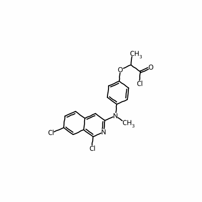 CC(Oc1ccc(N(C)c2cc3ccc(Cl)cc3c(Cl)n2)cc1)C(=O)Cl